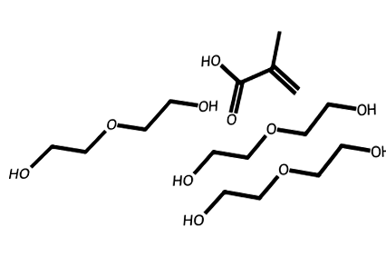 C=C(C)C(=O)O.OCCOCCO.OCCOCCO.OCCOCCO